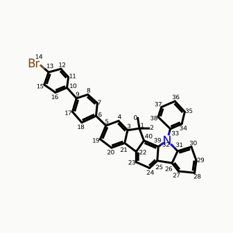 CC1(C)c2cc(-c3ccc(-c4ccc(Br)cc4)cc3)ccc2-c2ccc3c4ccccc4n(-c4ccccc4)c3c21